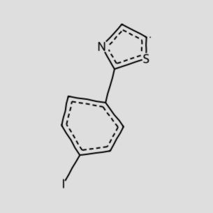 Ic1ccc(-c2nc[c]s2)cc1